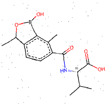 Cc1c(C(=O)N[C@H](C(=O)O)C(C)C)ccc2c1B(O)OC2C